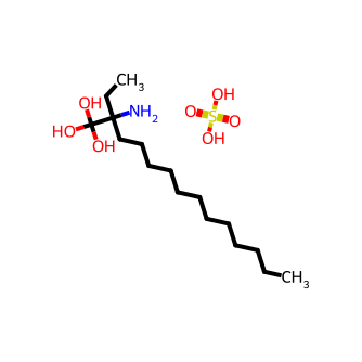 CCCCCCCCCCCCC(N)(CC)C(O)(O)O.O=S(=O)(O)O